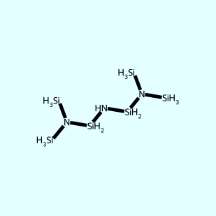 [SiH3]N([SiH3])[SiH2]N[SiH2]N([SiH3])[SiH3]